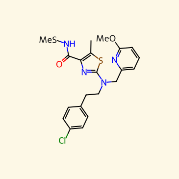 COc1cccc(CN(CCc2ccc(Cl)cc2)c2nc(C(=O)NSC)c(C)s2)n1